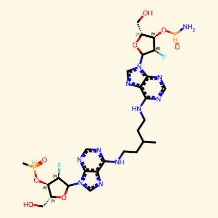 CC(CCNc1ncnc2c1ncn2C1O[C@H](CO)[C@@H](O[PH](C)=O)[C@H]1F)CCNc1ncnc2c1ncn2C1O[C@H](CO)[C@@H](O[PH](N)=O)[C@H]1F